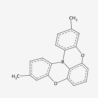 Cc1ccc2c(c1)Oc1cccc3c1B2c1ccc(C)cc1O3